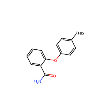 NC(=O)c1ccccc1Oc1ccc(C=O)cc1